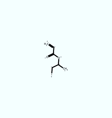 C=CC(=O)OC(C)CI